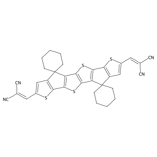 N#CC(C#N)=Cc1cc2c(s1)-c1sc3c4c(sc3c1C21CCCCC1)-c1sc(C=C(C#N)C#N)cc1C41CCCCC1